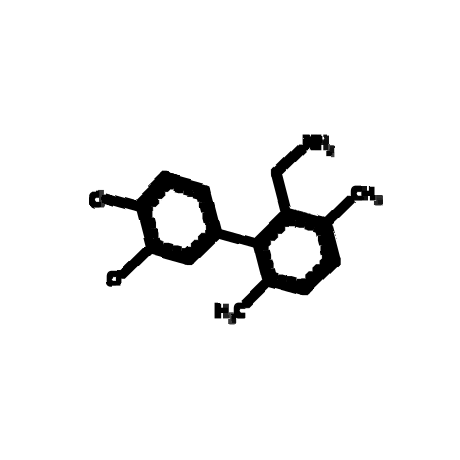 Cc1ccc(C)c(-c2ccc(Cl)c(Cl)c2)c1CN